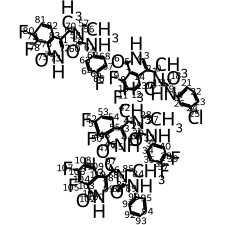 CC(c1c[nH]c(=O)c2c(F)c(F)ccc12)N(C)C(=O)Nc1cccc(Cl)c1.CCN(C(=O)Nc1ccc(F)c(F)c1)C(C)c1c[nH]c(=O)c2c(F)c(F)ccc12.CCN(C(=O)Nc1ccc(F)cc1)C(C)c1c[nH]c(=O)c2c(F)c(F)ccc12.CCN(C(=O)Nc1ccccc1)C(C)c1c[nH]c(=O)c2c(F)c(F)ccc12